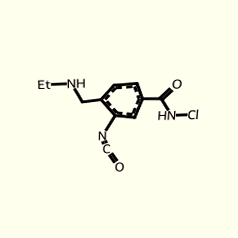 CCNCc1ccc(C(=O)NCl)cc1N=C=O